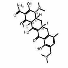 Cc1cc(CN(C)C)c(O)c2c1C[C@H]1C[C@H]3[C@H](N(C)C)C(O)=C(C(N)=O)C(=O)[C@@]3(O)C(O)=C1C2=O